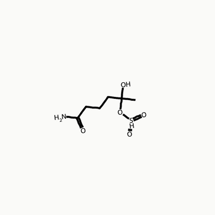 CC(O)(CCCC(N)=O)O[SH](=O)=O